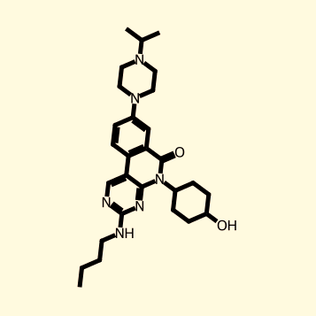 CCCCNc1ncc2c3ccc(N4CCN(C(C)C)CC4)cc3c(=O)n(C3CCC(O)CC3)c2n1